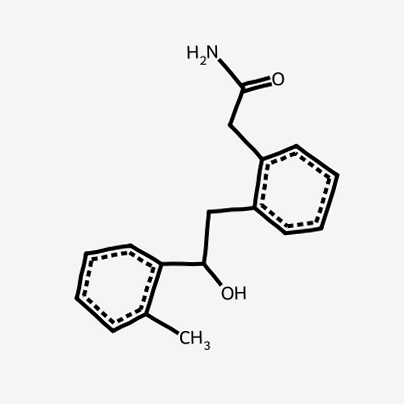 Cc1ccccc1C(O)Cc1ccccc1CC(N)=O